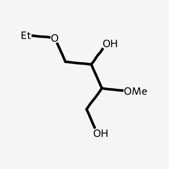 CCOCC(O)C(CO)OC